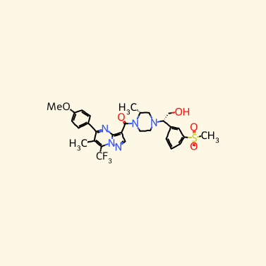 COc1ccc(-c2nc3c(C(=O)N4CCN([C@H](CO)c5cccc(S(C)(=O)=O)c5)C[C@H]4C)cnn3c(C(F)(F)F)c2C)cc1